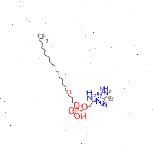 Nc1nc(Br)c2ncn(C(N)COCP(=O)(O)OCCCOCCCCCCCCCCCCCCCC(F)(F)F)c2n1